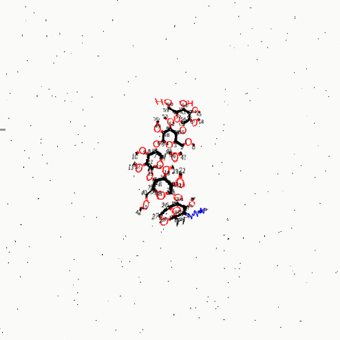 COCC1O[C@@H](O[C@H]2C(OC)C(OC)[C@@H](O[C@H]3C(OC)C(OC)[C@H](O[C@H]4C5CO[C@H](O5)C(N=[N+]=[N-])[C@@H]4OC)O[C@H]3COC)O[C@H]2COC)C(OC)[C@@H](OC)[C@@H]1O[C@@H]1OC(CO)[C@@H](O)[C@H](OC)C1OC